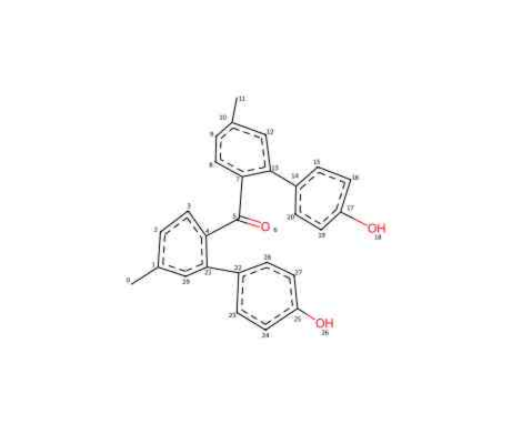 Cc1ccc(C(=O)c2ccc(C)cc2-c2ccc(O)cc2)c(-c2ccc(O)cc2)c1